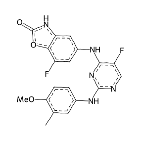 COc1ccc(Nc2ncc(F)c(Nc3cc(F)c4oc(=O)[nH]c4c3)n2)cc1C